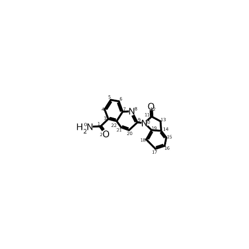 NC(=O)c1cccc2nc(N3C(=O)Cc4ccccc43)ccc12